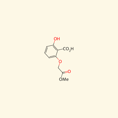 COC(=O)COc1cccc(O)c1C(=O)O